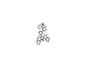 CP(=O)(c1ccccc1)c1cccc(-c2cccc(-c3c4ccc5ccccc5c4nc4c3ccc3ccccc34)c2)c1